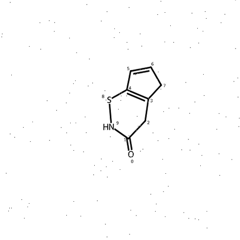 O=C1CC2=C(C=CC2)SN1